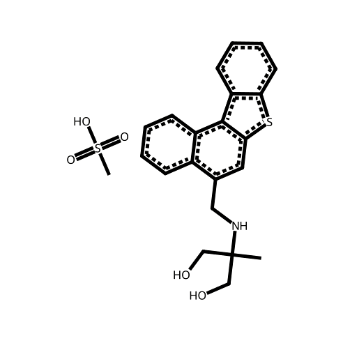 CC(CO)(CO)NCc1cc2sc3ccccc3c2c2ccccc12.CS(=O)(=O)O